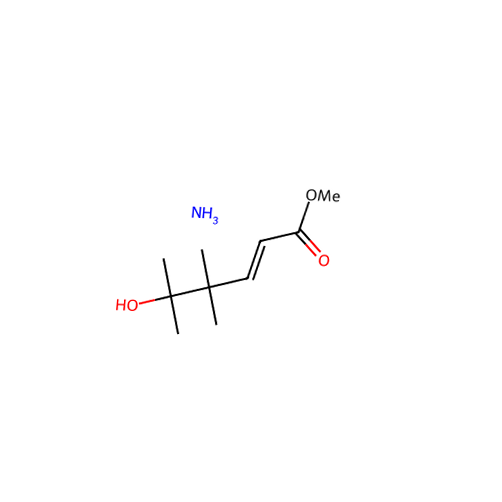 COC(=O)C=CC(C)(C)C(C)(C)O.N